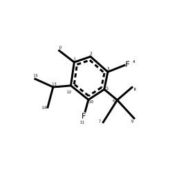 Cc1cc(F)c(C(C)(C)C)c(F)c1C(C)C